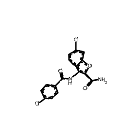 NC(=O)c1oc2cc(Cl)ccc2c1NC(=O)c1ccc(Cl)cc1